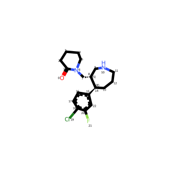 O=C1CCCCN1C[C@@H]1CNCCC[C@H]1c1ccc(Cl)c(F)c1